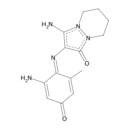 CC1=CC(=O)C=C(N)C1=Nc1c(N)n2n(c1=O)CCCC2